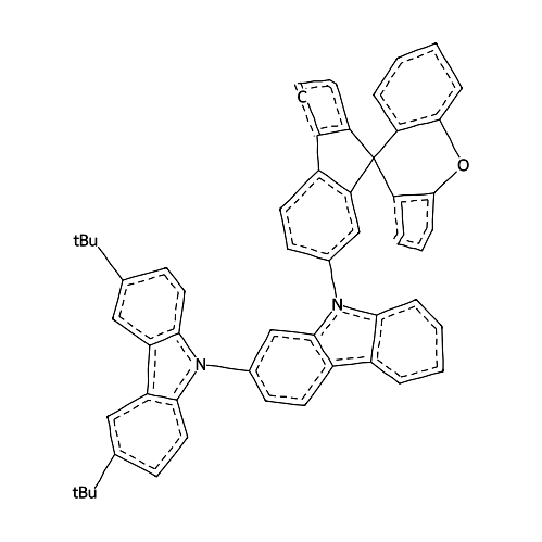 CC(C)(C)c1ccc2c(c1)c1cc(C(C)(C)C)ccc1n2-c1ccc2c3ccccc3n(-c3ccc4c(c3)C3(c5ccccc5Oc5ccccc53)c3ccccc3-4)c2c1